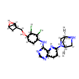 Fc1c(Nc2ncnc3ccc(N4C[C@@H]5C[C@H]4CN5)nc23)ccc(OCC23COC(C2)C3)c1F